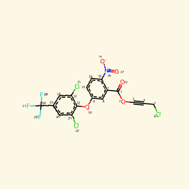 O=C(OC#CCCl)c1cc(Oc2c(Cl)cc(C(F)(F)F)cc2Cl)ccc1[N+](=O)[O-]